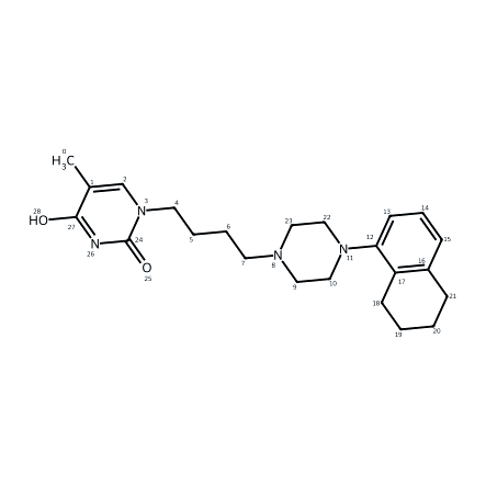 Cc1cn(CCCCN2CCN(c3cccc4c3CCCC4)CC2)c(=O)nc1O